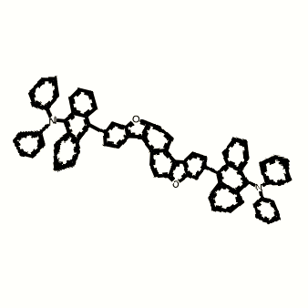 c1ccc(N(c2ccccc2)c2c3ccccc3c(-c3ccc4c(c3)oc3ccc5c(ccc6oc7cc(-c8c9ccccc9c(N(c9ccccc9)c9ccccc9)c9ccccc89)ccc7c65)c34)c3ccccc23)cc1